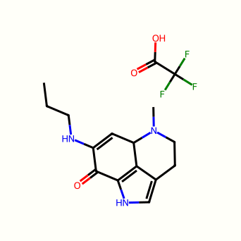 CCCNC1=CC2c3c(c[nH]c3C1=O)CCN2C.O=C(O)C(F)(F)F